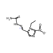 CCn1c(/C=N/NC(N)=S)cnc1[N+](=O)[O-]